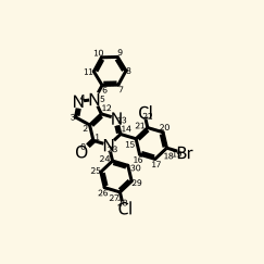 O=c1c2cnn(-c3ccccc3)c2nc(-c2ccc(Br)cc2Cl)n1-c1ccc(Cl)cc1